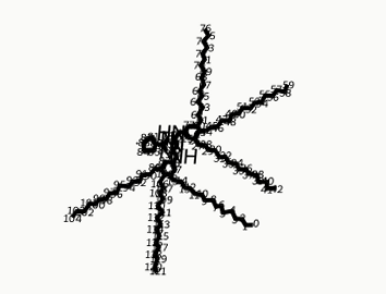 CCCCCCCCCCCCCCCCc1cc(Nc2nc(Nc3cc(CCCCCCCCCCCCCCCC)c(CCCCCCCCCCCCCCCC)c(CCCCCCCCCCCCCCCC)c3)nc(-c3cc[c]cc3)n2)cc(CCCCCCCCCCCCCCCC)c1CCCCCCCCCCCCCCCC